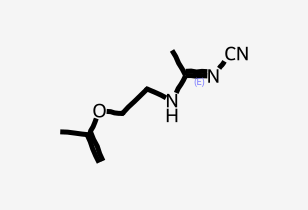 C=C(C)OCCN/C(C)=N/C#N